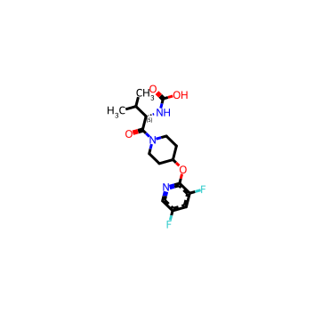 CC(C)[C@H](NC(=O)O)C(=O)N1CCC(Oc2ncc(F)cc2F)CC1